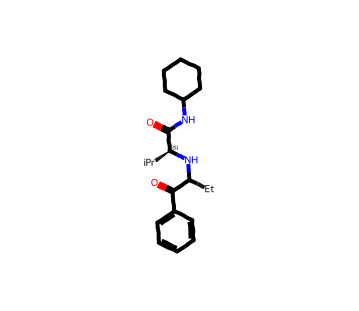 CCC(N[C@H](C(=O)NC1CCCCC1)C(C)C)C(=O)c1ccccc1